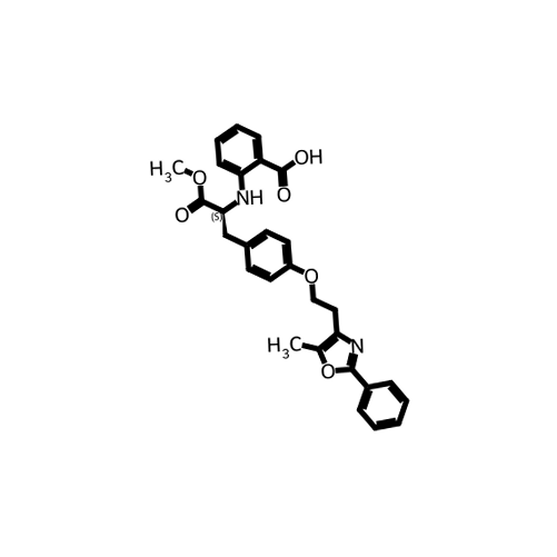 COC(=O)[C@H](Cc1ccc(OCCc2nc(-c3ccccc3)oc2C)cc1)Nc1ccccc1C(=O)O